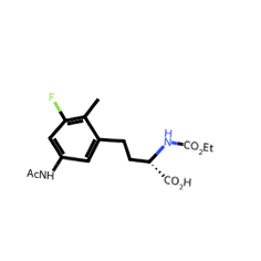 CCOC(=O)N[C@@H](CCc1cc(NC(C)=O)cc(F)c1C)C(=O)O